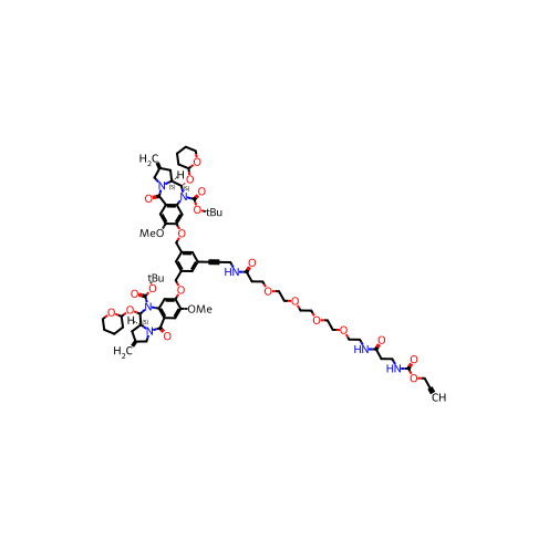 C#CCOC(=O)NCCC(=O)NCCOCCOCCOCCOCCC(=O)NCC#Cc1cc(COc2cc3c(cc2OC)C(=O)N2CC(=C)C[C@H]2C(OC2CCCCO2)N3C(=O)OC(C)(C)C)cc(COc2cc3c(cc2OC)C(=O)N2CC(=C)C[C@H]2[C@H](OC2CCCCO2)N3C(=O)OC(C)(C)C)c1